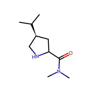 CC(C)[C@@H]1CNC(C(=O)N(C)C)C1